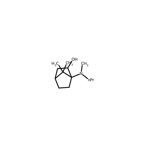 CCCN(C)C12CCC(CC1O)C2(C)C